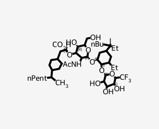 CCCCCC(C)C1CCC(C[C@H](OC2C(NC(C)=O)[C@H](O[C@@H]3CC(C(I)(CC)CCCC)CC(CC)[C@H]3O[C@@H]3OC(C(F)(F)F)[C@@H](O)C(O)C3O)OC(CO)[C@@H]2O)C(=O)O)CC1